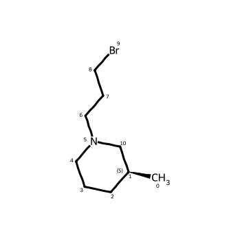 C[C@H]1CCCN(CCCBr)C1